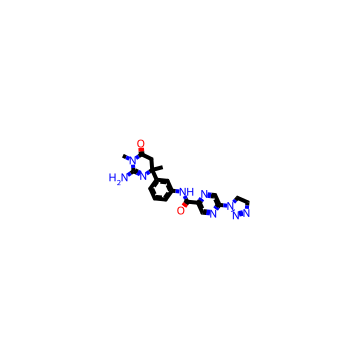 CN1C(=O)CC(C)(c2cccc(NC(=O)c3cnc(N4CCN=N4)cn3)c2)N=C1N